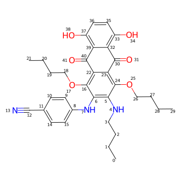 CCCCNc1c(Nc2ccc(C#N)cc2)c(OCCCC)c2c(c1OCCCC)C(=O)c1c(O)ccc(O)c1C2=O